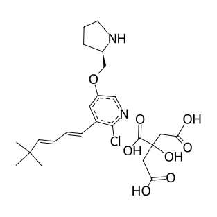 CC(C)(C)/C=C/C=C/c1cc(OC[C@H]2CCCN2)cnc1Cl.O=C(O)CC(O)(CC(=O)O)C(=O)O